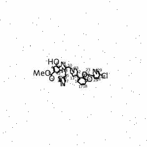 COC(=O)c1cc(O)c2nc(CN3CCC(c4cccc5c4O[C@@](C)(c4ccc(Cl)cn4)O5)CC3)n(Cc3cncs3)c2c1